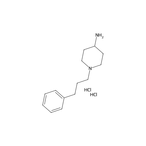 Cl.Cl.NC1CCN(CCCc2ccccc2)CC1